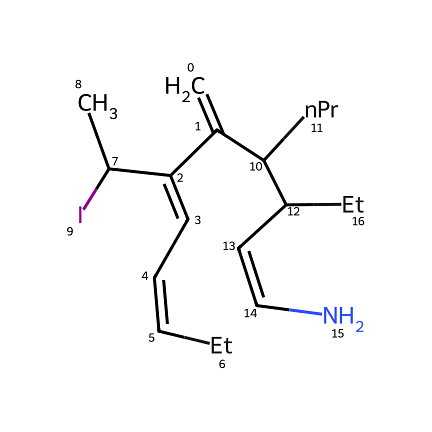 C=C(/C(=C/C=C\CC)C(C)I)C(CCC)C(/C=C\N)CC